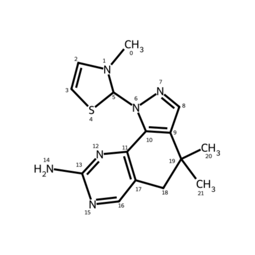 CN1C=CSC1n1ncc2c1-c1nc(N)ncc1CC2(C)C